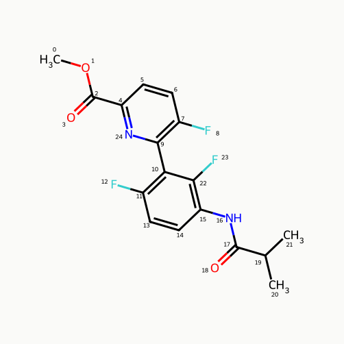 COC(=O)c1ccc(F)c(-c2c(F)ccc(NC(=O)C(C)C)c2F)n1